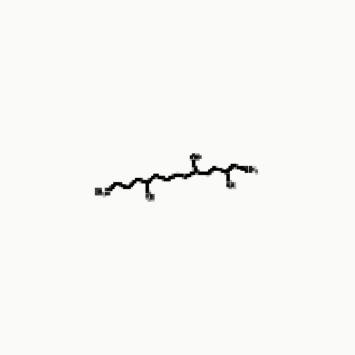 CCCCC(O)CCCCC(O)CCC(O)CC